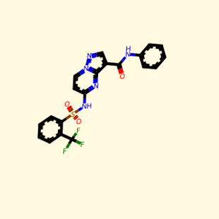 O=C(Nc1ccccc1)c1cnn2ccc(NS(=O)(=O)c3ccccc3C(F)(F)F)nc12